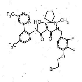 CN1N(Cc2ccc(OCCBr)c(F)c2F)C(=O)C(C(=O)Nc2ccc(C(F)(F)F)cc2-c2cc(C(F)(F)F)ncn2)=C(O)C12CCCC2